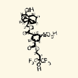 O=C(OCCC(O)(C(F)(F)F)C(F)(F)F)c1cc(C(=O)OCC23CC4CCC2C(O)CC(C4)C3)cc(S(=O)(=O)O)c1